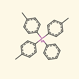 Cc1ccc([PH](c2ccccc2)(c2ccc(C)cc2)c2ccc(C)cc2)cc1